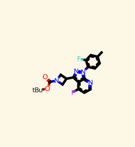 Cc1ccc(-n2nc(C3CN(C(=O)OC(C)(C)C)C3)c3c(I)ccnc32)c(F)c1